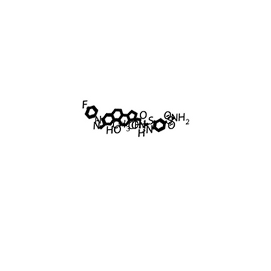 CC12Cc3cnn(-c4ccc(F)cc4)c3C=C1CCC1C2[C@@H](O)CC2(C)C1CC[C@]2(O)C(=O)Nc1nc2ccc(S(N)(=O)=O)cc2s1